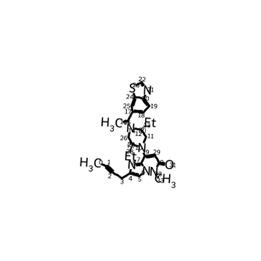 CC#CCc1cn2c(n1)c(N1C[C@@H](CC)N(C(C)c3ccc4ncsc4c3)C[C@@H]1CC)cc(=O)n2C